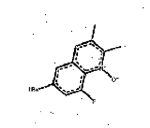 Cc1cc2cc(C(C)(C)C)cc(F)c2[n+]([O-])c1C